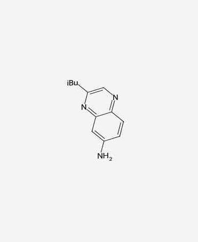 CCC(C)c1cnc2ccc(N)cc2n1